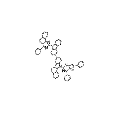 c1ccc(-c2cc3nc(-n4c5ccc(-c6ccc7c(c6)c6ccccc6n7-c6nc(-c7ccccc7)c7ccc8ccccc8c7n6)cc5c5ccc6ccccc6c54)nc(-c4ccccc4)c3s2)cc1